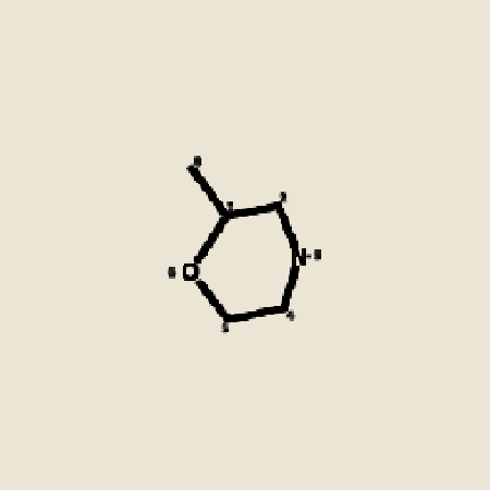 CC1C[N]CCO1